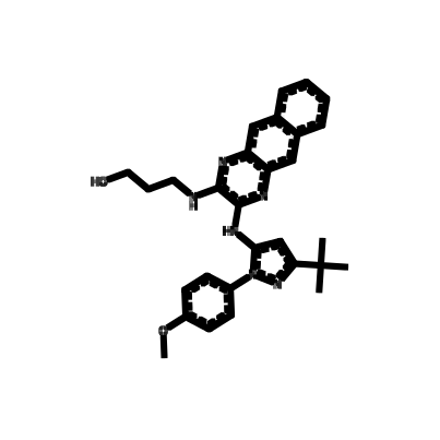 COc1ccc(-n2nc(C(C)(C)C)cc2Nc2nc3cc4ccccc4cc3nc2NCCCO)cc1